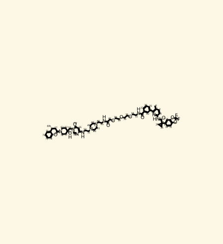 Cc1ccc(NC(=O)C2(c3ccc4c(c3)OC(F)(F)O4)CC2)nc1-c1cccc(C(=O)NCCOCCOCCOCC(=O)NCCN2CCN(CCNc3cc(=O)n(CC4(O)CCN(C(=O)C[C@@H](C)c5ccccc5)CC4)cn3)CC2)c1